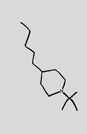 CCCCCC1CCN(C(C)(C)C)CC1